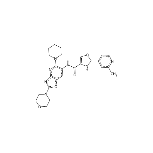 Cc1cc(C2NC(C(=O)Nc3cc4oc(N5CCOCC5)nc4nc3N3CCCCC3)=CO2)ccn1